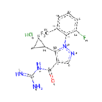 Cl.N=C(N)NC(=O)c1cnn(-c2c(F)cccc2C(F)(F)F)c1C1CC1